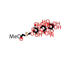 COC(=O)CCSCCO[C@@H]1O[C@H](CO)[C@@H](O[C@@H]2O[C@H](CO)[C@H](O[C@H]3O[C@H](CO)[C@H](O)[C@H](O)[C@H]3O)[C@H](O)[C@H]2O)[C@H](O)[C@H]1O